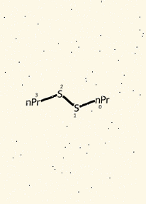 [CH2]CCSSCC[CH2]